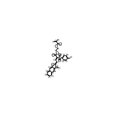 C=C(C)C(=O)OCCOC(=O)/C(=C/C=C1\Oc2cc3ccccc3cc2N1C)S(=O)(=O)c1ccc(C)cc1